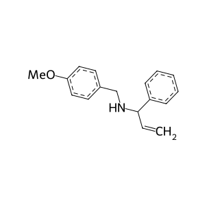 C=CC(NCc1ccc(OC)cc1)c1ccccc1